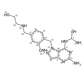 CCCC(N)Nc1nc(N)nc2cnn(Cc3ccc(CNCCO)cc3OC)c12